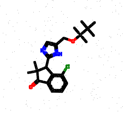 CC1(C)C(=O)c2cccc(Cl)c2C1c1ncc(CO[Si](C)(C)C(C)(C)C)[nH]1